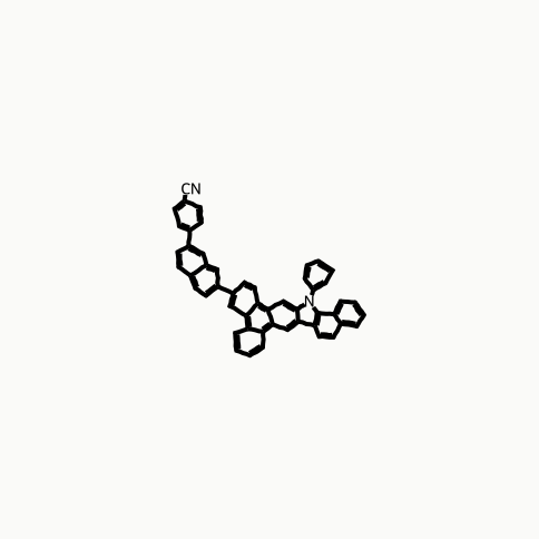 N#Cc1ccc(-c2ccc3ccc(-c4ccc5c(c4)c4ccccc4c4cc6c7ccc8ccccc8c7n(-c7ccccc7)c6cc54)cc3c2)cc1